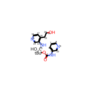 CC(C)(C)OC(=O)Nc1cccnc1.O=C(O)Nc1cnccc1CCO